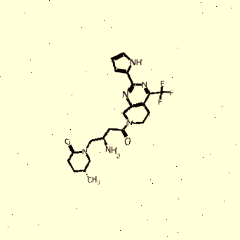 C[C@@H]1CCC(=O)N(C[C@H](N)CC(=O)N2CCc3c(nc(-c4ccc[nH]4)nc3C(F)(F)F)C2)C1